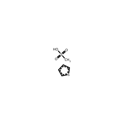 CS(=O)(=O)O.c1ccsc1